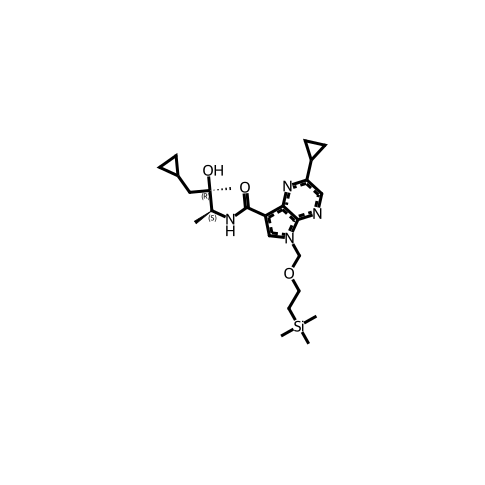 C[C@H](NC(=O)c1cn(COCC[Si](C)(C)C)c2ncc(C3CC3)nc12)[C@](C)(O)CC1CC1